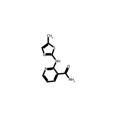 Cc1cnc(Nc2ncccc2C(N)=O)s1